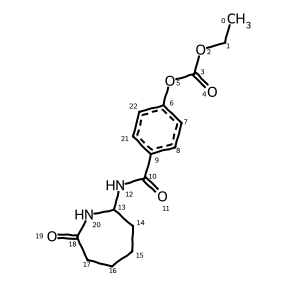 CCOC(=O)Oc1ccc(C(=O)NC2CCCCC(=O)N2)cc1